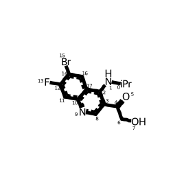 CC(C)Nc1c(C(=O)CO)cnc2cc(F)c(Br)cc12